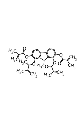 C=C(C)C(=C)Oc1c(OC(=O)C(=C)C)ccc2c1C(C)c1c-2ccc(OC(=O)C(=C)C)c1OC(=O)C(=C)C